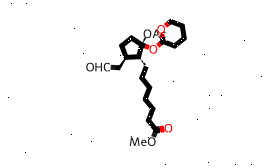 COC(=O)CCCCCC[C@@H]1[C@@H](CC=O)CC[C@@]1(OC(C)=O)OC1CCCCO1